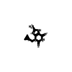 Nc1nc2c([nH]1)c(=O)[nH]c(=O)n2CC1CC1